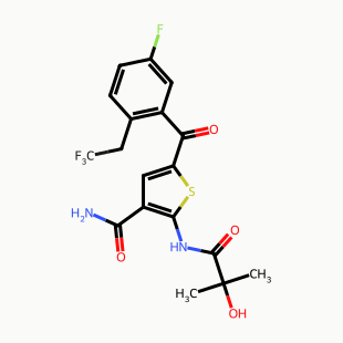 CC(C)(O)C(=O)Nc1sc(C(=O)c2cc(F)ccc2CC(F)(F)F)cc1C(N)=O